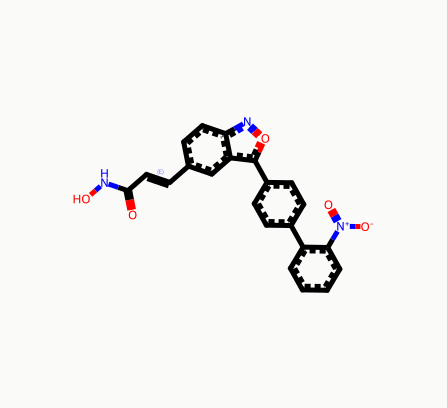 O=C(/C=C/c1ccc2noc(-c3ccc(-c4ccccc4[N+](=O)[O-])cc3)c2c1)NO